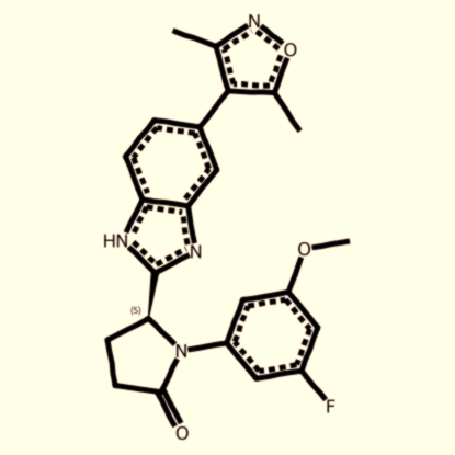 COc1cc(F)cc(N2C(=O)CC[C@H]2c2nc3cc(-c4c(C)noc4C)ccc3[nH]2)c1